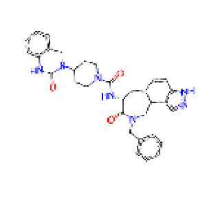 O=C(N[C@@H]1CC2C=Cc3[nH]ncc3C2CN(Cc2ccccc2)C1=O)N1CCC(N2Cc3ccccc3NC2=O)CC1